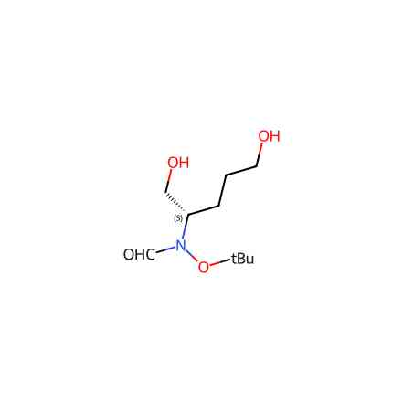 CC(C)(C)ON(C=O)[C@H](CO)CCCO